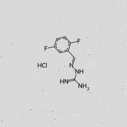 Cl.N=C(N)N/N=C/c1cc(F)ccc1F